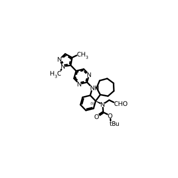 Cc1cnn(C)c1-c1cnc(NC2C=CC=C[C@]2(C2CCCCCC2)N(CC=O)C(=O)OC(C)(C)C)nc1